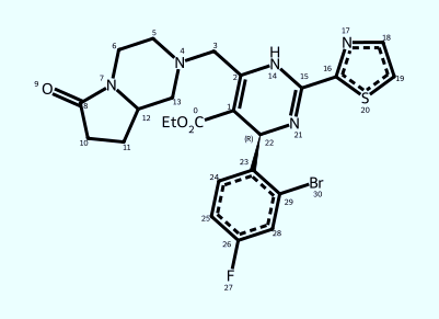 CCOC(=O)C1=C(CN2CCN3C(=O)CCC3C2)NC(c2nccs2)=N[C@H]1c1ccc(F)cc1Br